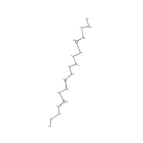 CCCCOCCOCCOCCOCCOC